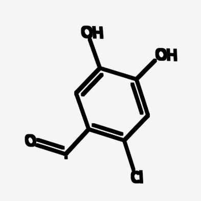 O=[C]c1cc(O)c(O)cc1Cl